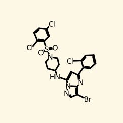 O=S(=O)(c1cc(Cl)ccc1Cl)N1CCC(Nc2cc(-c3ccccc3Cl)nc3c(Br)cnn23)CC1